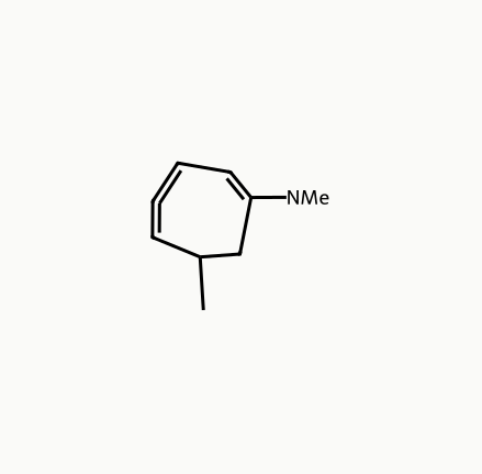 CNC1=CC=C=CC(C)C1